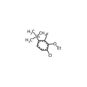 CCOc1c(Cl)cc[c]([Sn]([CH3])([CH3])[CH3])c1F